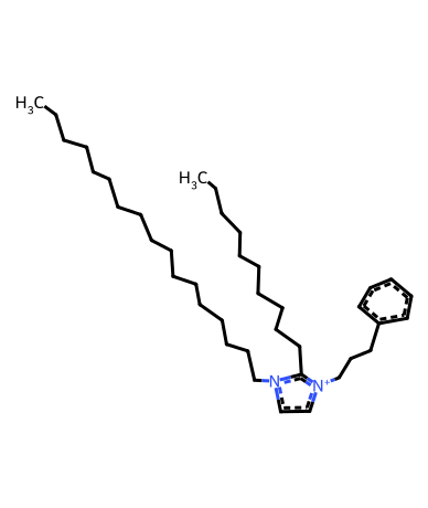 CCCCCCCCCCCCCCCCCn1cc[n+](CCCc2ccccc2)c1CCCCCCCCCC